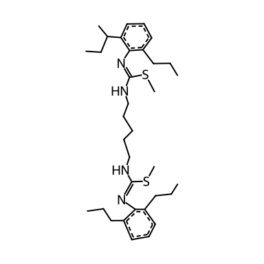 CCCc1cccc(CCC)c1/N=C(/NCCCCCN/C(=N/c1c(CCC)cccc1C(C)CC)SC)SC